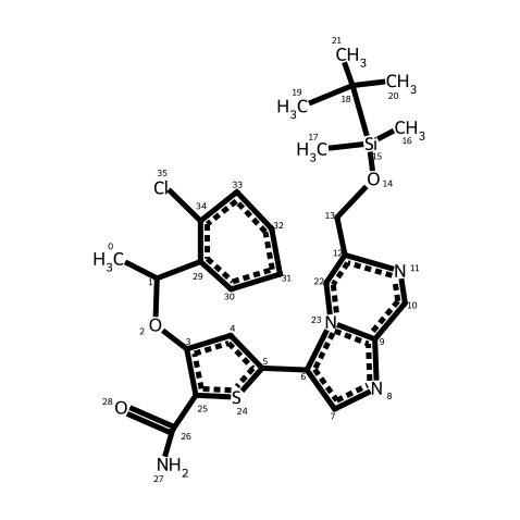 CC(Oc1cc(-c2cnc3cnc(CO[Si](C)(C)C(C)(C)C)cn23)sc1C(N)=O)c1ccccc1Cl